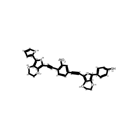 O=[N+]([O-])c1cc(C#Cc2sc(-c3ccc(S)cc3)c3c2OCCO3)ccc1C#Cc1sc(-c2cccs2)c2c1OCCO2